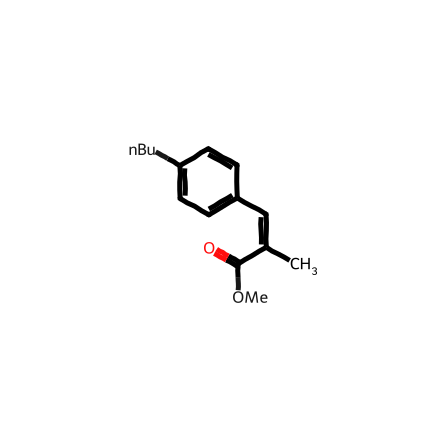 CCCCc1ccc(C=C(C)C(=O)OC)cc1